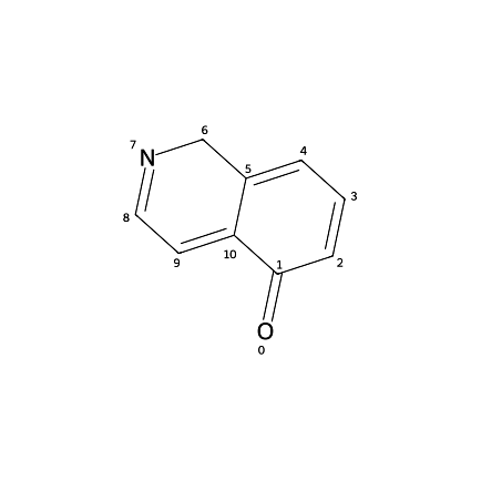 O=C1C=CC=C2CN=CC=C12